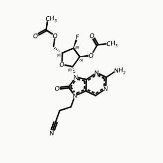 CC(=O)OC[C@H]1O[C@@H](n2c(=O)n(CCC#N)c3cnc(N)nc32)[C@H](OC(C)=O)[C@@H]1F